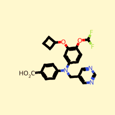 O=C(O)c1ccc(N(Cc2cncnc2)c2ccc(OC(F)F)c(OC3CCC3)c2)cc1